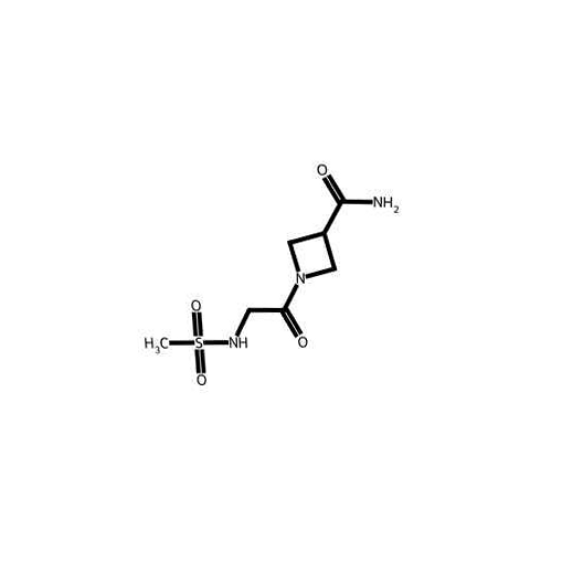 CS(=O)(=O)NCC(=O)N1CC(C(N)=O)C1